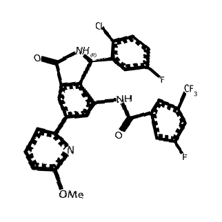 COc1cccc(-c2cc(NC(=O)c3cc(F)cc(C(F)(F)F)c3)c3c(c2)C(=O)N[C@H]3c2cc(F)ccc2Cl)n1